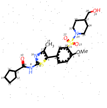 COc1ccc(-c2sc(NC(=O)C3CCCC3)nc2C)cc1S(=O)(=O)N1CCC(CO)CC1